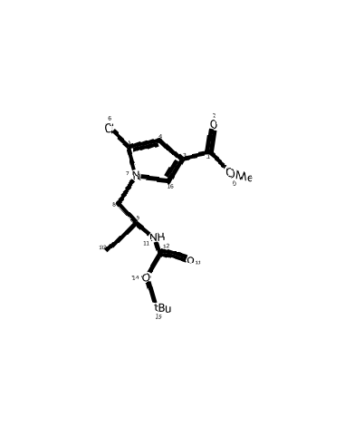 COC(=O)c1cc(Cl)n(CC(C)NC(=O)OC(C)(C)C)c1